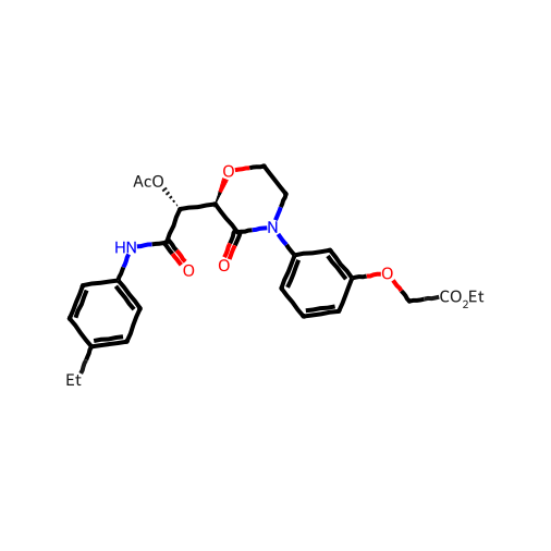 CCOC(=O)COc1cccc(N2CCO[C@H]([C@@H](OC(C)=O)C(=O)Nc3ccc(CC)cc3)C2=O)c1